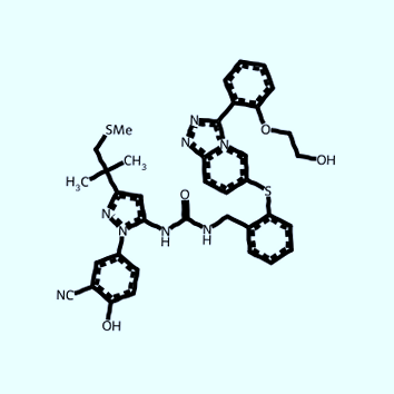 CSCC(C)(C)c1cc(NC(=O)NCc2ccccc2Sc2ccc3nnc(-c4ccccc4OCCO)n3c2)n(-c2ccc(O)c(C#N)c2)n1